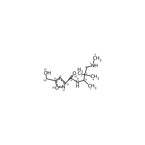 CNCC(C)(C)C(C)NC(=O)c1cc(CO)on1